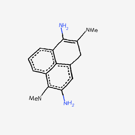 CNC1=C(N)c2cccc3c(NC)c(N)cc(c23)C1